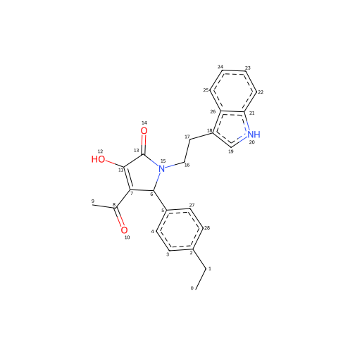 CCc1ccc(C2C(C(C)=O)=C(O)C(=O)N2CCc2c[nH]c3ccccc23)cc1